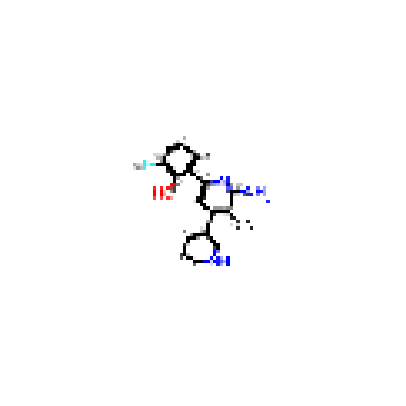 N#Cc1c(C2CCCNC2)cc(-c2cccc(F)c2O)nc1N